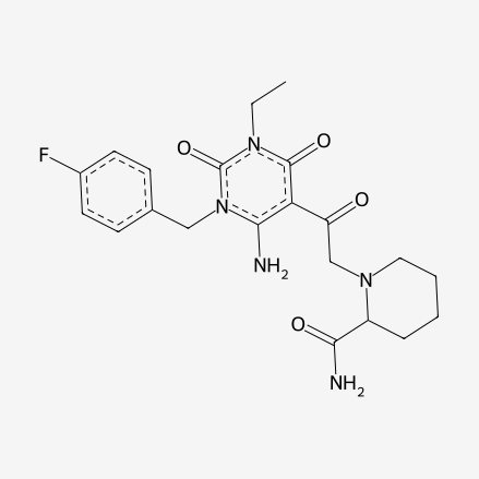 CCn1c(=O)c(C(=O)CN2CCCCC2C(N)=O)c(N)n(Cc2ccc(F)cc2)c1=O